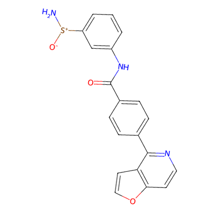 N[S+]([O-])c1cccc(NC(=O)c2ccc(-c3nccc4occc34)cc2)c1